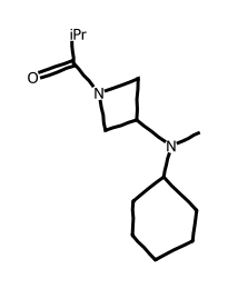 CC(C)C(=O)N1CC(N(C)C2CCCCC2)C1